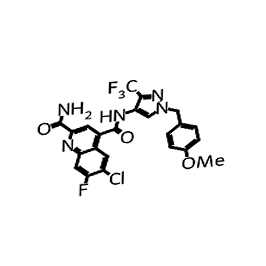 COc1ccc(Cn2cc(NC(=O)c3cc(C(N)=O)nc4cc(F)c(Cl)cc34)c(C(F)(F)F)n2)cc1